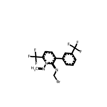 C=Nn1c(C(F)(F)F)ccc(-c2cccc(C(F)(F)F)c2)/c1=N/CBr